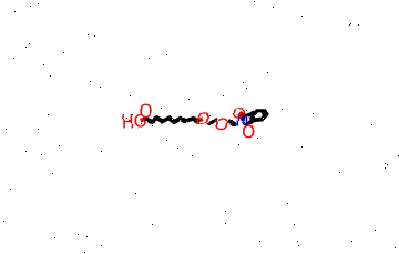 O=C(O)CCCCCCCCCOCCOCCN1C(=O)c2ccccc2C1=O